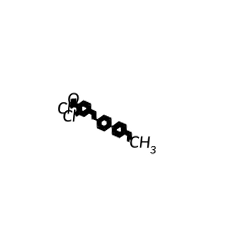 CCCc1ccc([C@H]2CC[C@H](CCc3ccc(C(=O)Cl)c(Cl)c3)CC2)cc1